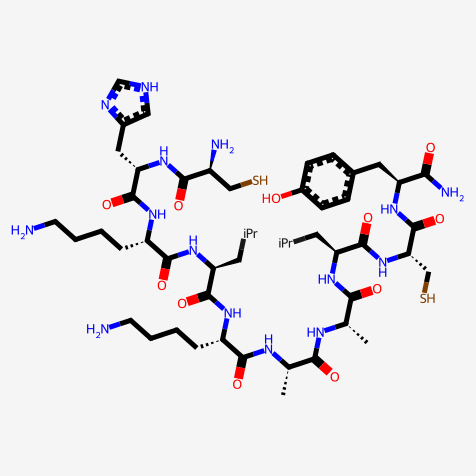 CC(C)C[C@H](NC(=O)[C@H](C)NC(=O)[C@H](C)NC(=O)[C@H](CCCCN)NC(=O)[C@H](CC(C)C)NC(=O)[C@H](CCCCN)NC(=O)[C@H](Cc1c[nH]cn1)NC(=O)[C@@H](N)CS)C(=O)N[C@@H](CS)C(=O)N[C@@H](Cc1ccc(O)cc1)C(N)=O